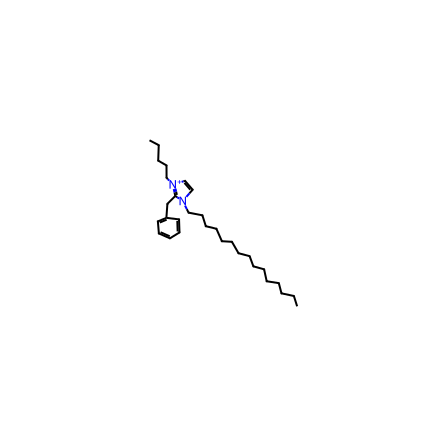 CCCCCCCCCCCCCCCn1cc[n+](CCCCC)c1Cc1ccccc1